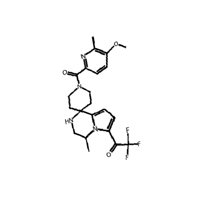 COc1ccc(C(=O)N2CCC3(CC2)NCC(C)n2c(C(=O)C(F)(F)F)ccc23)nc1C